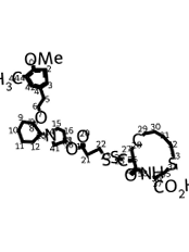 COc1ccc(CCO[C@@H]2CCCC[C@H]2N2CC[C@@H](OC(=O)CCSSCC3CCCCCCCSCC(C(=O)O)NC3=O)C2)cc1C